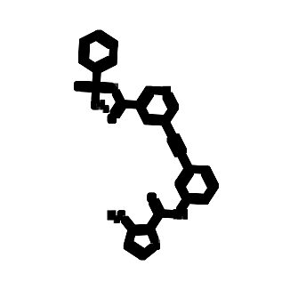 Cc1ccsc1C(=O)Nc1cccc(C#Cc2cncc(C(=O)N=S(C)(=O)c3ccccc3)c2)c1